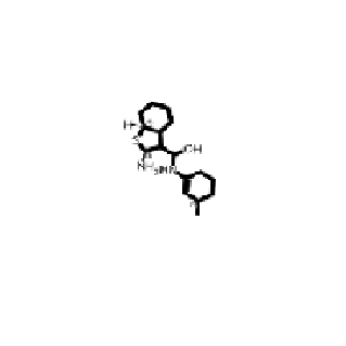 C[C@H]1C=C(NC(O)C2C3CCCC[C@@H]3S[C@@H]2N)CCC1